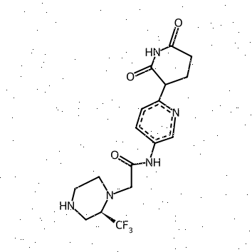 O=C1CCC(c2ccc(NC(=O)CN3CCNC[C@@H]3C(F)(F)F)cn2)C(=O)N1